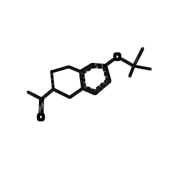 CC(=O)C1CCc2cc(OC(C)(C)C)ccc2C1